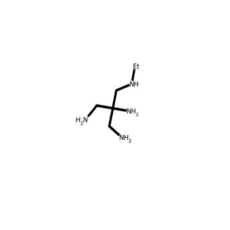 CCNCC(N)(CN)CN